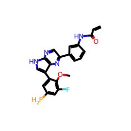 C=CC(=O)Nc1cccc(-c2cnc3[nH]cc(-c4cc(P)cc(F)c4OC)c3n2)c1